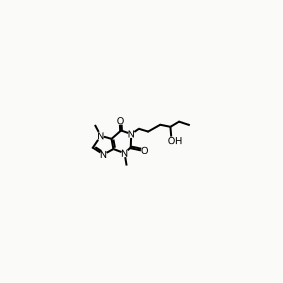 CCC(O)CCCn1c(=O)c2c(ncn2C)n(C)c1=O